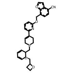 N#Cc1ccc(COc2cccc(C3=CCN(CC4C=CC=C[C@@H]4CC4CCO4)CC3)n2)c2occc12